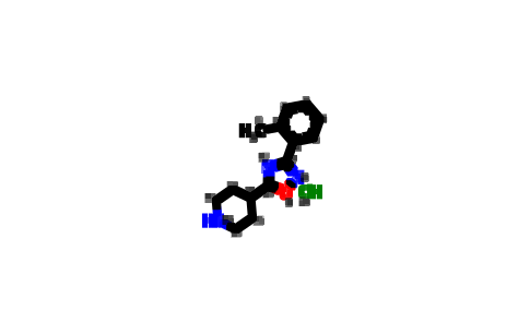 Cc1ccccc1-c1noc(C2CCNCC2)n1.Cl